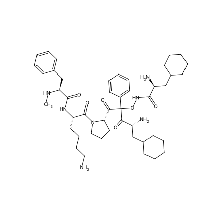 CN[C@@H](Cc1ccccc1)C(=O)N[C@@H](CCCCN)C(=O)N1CCC[C@H]1C(=O)C(ONC(=O)[C@@H](N)CC1CCCCC1)(C(=O)[C@H](N)CC1CCCCC1)c1ccccc1